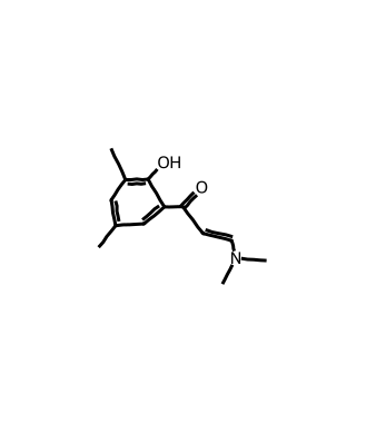 Cc1cc(C)c(O)c(C(=O)/C=C/N(C)C)c1